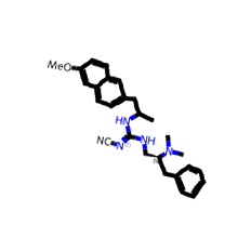 COc1ccc2cc(CC(C)N/C(=N\C#N)NC[C@H](Cc3ccccc3)N(C)C)ccc2c1